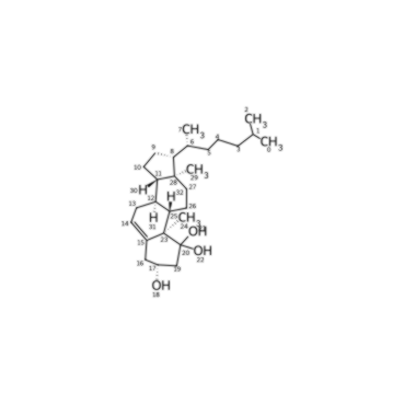 CC(C)CCC[C@@H](C)[C@H]1CC[C@H]2[C@@H]3CC=C4C[C@@H](O)CC(O)(O)[C@]4(C)[C@H]3CC[C@]12C